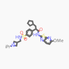 COc1ccc2nc(NC(=O)C(CC3CCCC3)c3ccc(S(=O)(=O)NCC4CN(C(C)C)C4)cc3)sc2n1